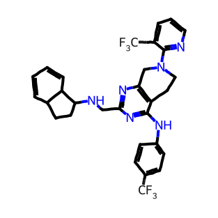 FC(F)(F)c1ccc(Nc2nc(CNC3CCC4C=CC=CC43)nc3c2CCN(c2ncccc2C(F)(F)F)C3)cc1